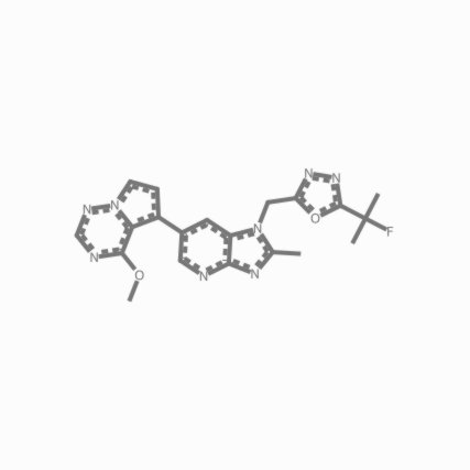 COc1ncnn2ccc(-c3cnc4nc(C)n(Cc5nnc(C(C)(C)F)o5)c4c3)c12